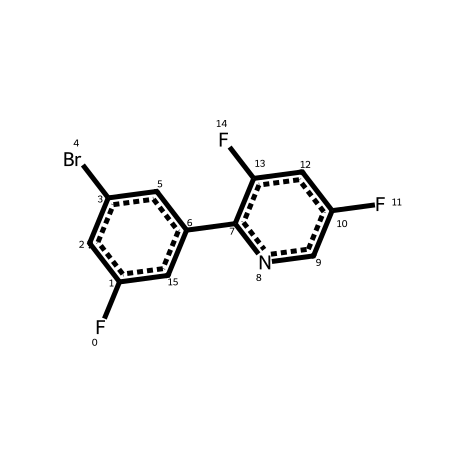 Fc1[c]c(Br)cc(-c2ncc(F)cc2F)c1